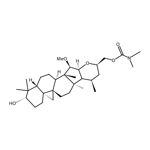 CO[C@H]1[C@H]2O[C@@H](COC(=O)N(C)C)C[C@@H](C)C2[C@@]2(C)CC[C@@]34C[C@@]35CC[C@H](O)C(C)(C)[C@@H]5CC[C@H]4[C@]12C